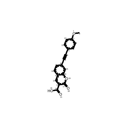 COc1ccc(C#Cc2ccc3cc(C(=O)O)c(=O)oc3c2)cc1